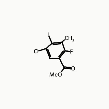 COC(=O)c1cc(Cl)c(I)c(C)c1F